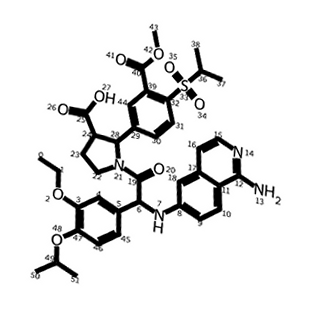 CCOc1cc(C(Nc2ccc3c(N)nccc3c2)C(=O)N2CCC(C(=O)O)C2c2ccc(S(=O)(=O)C(C)C)c(C(=O)OC)c2)ccc1OC(C)C